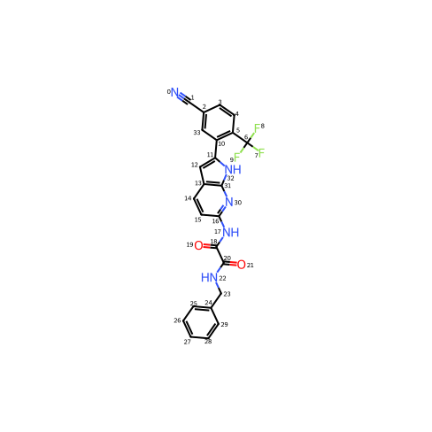 N#Cc1ccc(C(F)(F)F)c(-c2cc3ccc(NC(=O)C(=O)NCc4ccccc4)nc3[nH]2)c1